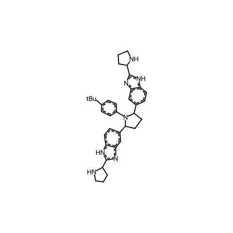 CC(C)(C)c1ccc(N2C(c3ccc4[nH]c(C5CCCN5)nc4c3)CCC2c2ccc3[nH]c(C4CCCN4)nc3c2)cc1